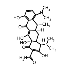 C[C@H]1c2c(N(C)C)ccc(O)c2C(=O)C2=C(O)[C@]3(O)C(=O)C(C(N)=O)=C(O)[C@@H](N(C)C)[C@@H]3C[C@@H]21